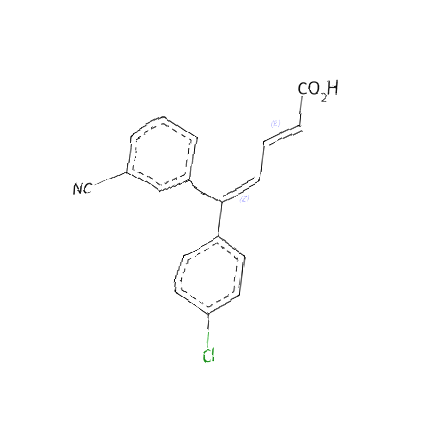 N#Cc1cccc(/C(=C\C=C\C(=O)O)c2ccc(Cl)cc2)c1